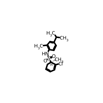 Cc1cc(C(C)C)ccc1NS(=O)(=O)[C@]1(C)CC=CC=C1Cl